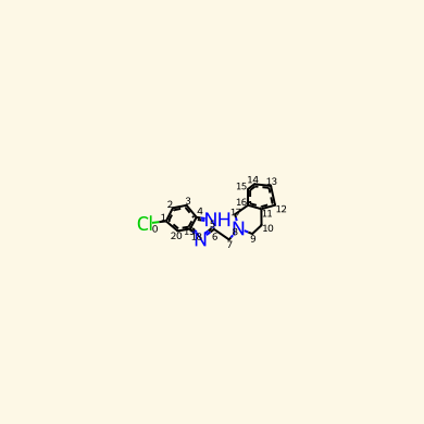 Clc1ccc2[nH]c(CN3CCc4ccccc4C3)nc2c1